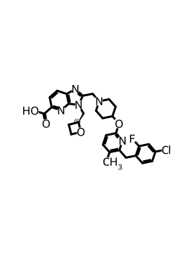 Cc1ccc(OC2CCN(Cc3nc4ccc(C(=O)O)nc4n3C[C@@H]3CCO3)CC2)nc1Cc1ccc(Cl)cc1F